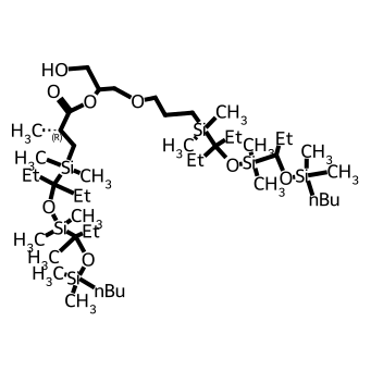 CCCC[Si](C)(C)OC(CC)[Si](C)(C)OC(CC)(CC)[Si](C)(C)CCCOCC(CO)OC(=O)[C@@H](C)C[Si](C)(C)C(CC)(CC)O[Si](C)(C)C(C)(CC)O[Si](C)(C)CCCC